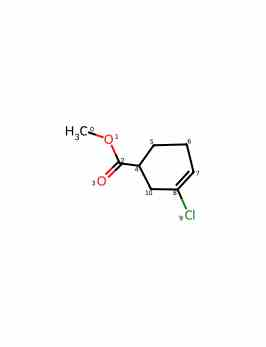 COC(=O)C1CCC=C(Cl)C1